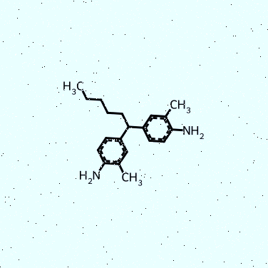 CCCCCC(c1ccc(N)c(C)c1)c1ccc(N)c(C)c1